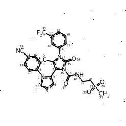 Cc1c(-c2ccnn2-c2ccc(C#N)cc2)n(C(=O)NCCS(C)(=O)=O)c(=O)n1-c1cccc(C(F)(F)F)c1